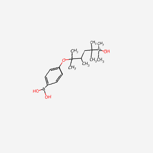 CC(CC(C)(C)[Si](C)(C)O)C(C)(C)Oc1ccc(B(O)O)cc1